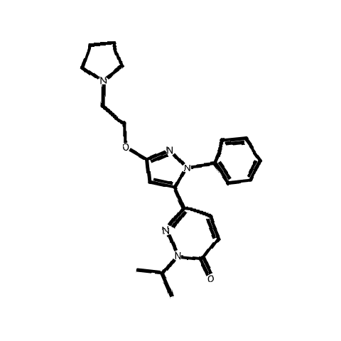 CC(C)n1nc(-c2cc(OCCN3CCCC3)nn2-c2ccccc2)ccc1=O